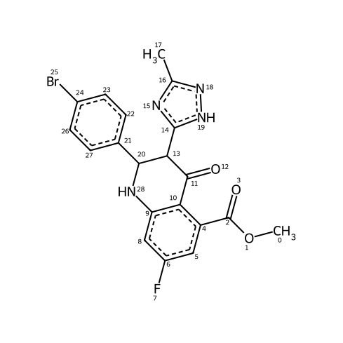 COC(=O)c1cc(F)cc2c1C(=O)C(c1nc(C)n[nH]1)C(c1ccc(Br)cc1)N2